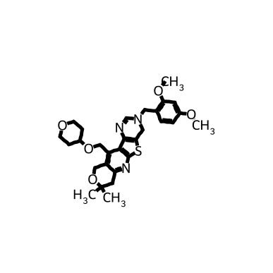 COc1ccc(CN2C=Nc3c(sc4nc5c(c(COC6CCOCC6)c34)COC(C)(C)C5)C2)c(OC)c1